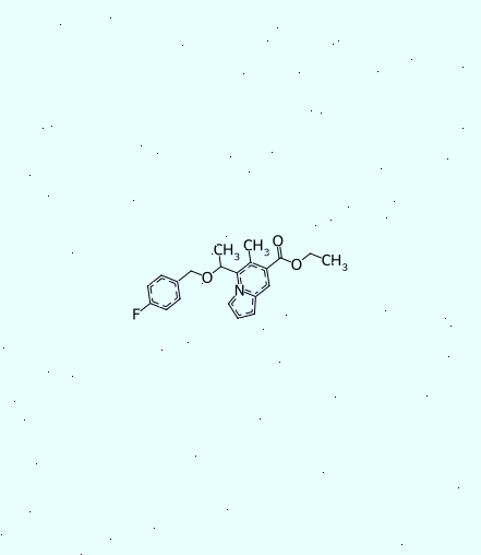 CCOC(=O)c1cc2cccn2c(C(C)OCc2ccc(F)cc2)c1C